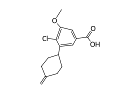 C=C1CCC(c2cc(C(=O)O)cc(OC)c2Cl)CC1